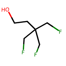 OCCC(CF)(CF)CF